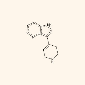 C1=C(c2c[nH]c3cccnc23)CCNC1